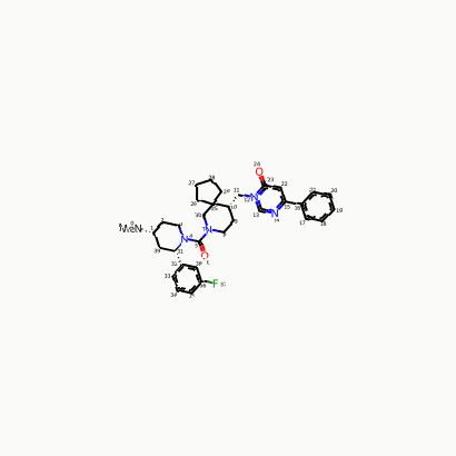 CN[C@@H]1CCN(C(=O)N2CC[C@@H](Cn3cnc(-c4ccccc4)cc3=O)C3(CCCC3)C2)[C@H](c2cccc(F)c2)C1